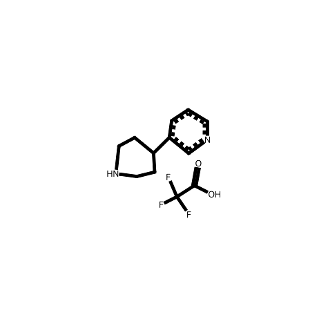 O=C(O)C(F)(F)F.c1cncc(C2CCNCC2)c1